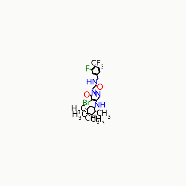 C[C@@H]1[C@@H](C)C(C)(C)[C@@H](C)C[C@H]1Nc1cnn(CC(=O)NCc2ccc(C(F)(F)F)c(F)c2)c(=O)c1Br